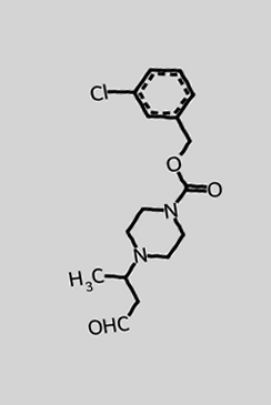 CC(CC=O)N1CCN(C(=O)OCc2cccc(Cl)c2)CC1